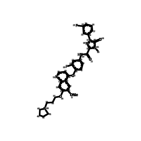 COc1cc2c(Oc3ccc(NC(=O)c4nn(-c5cccc(F)c5)c(=O)n4C)cc3F)ccnc2cc1OCCCN1CCCC1